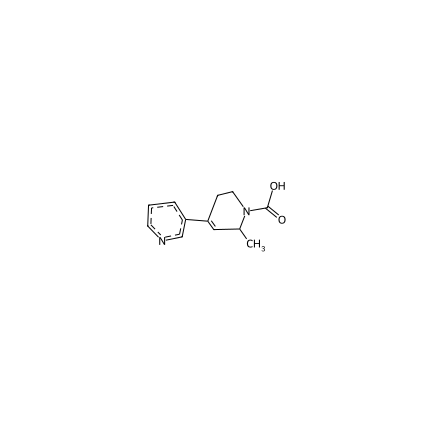 CC1C=C(c2cccnc2)CCN1C(=O)O